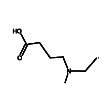 [CH2]CN(C)CCCC(=O)O